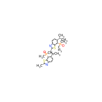 Cc1nc2ccc(C(C)Cc3nc4ccc(C(C)C)c(P(C)(C)=O)c4s3)c(P(C)(C)=O)c2s1